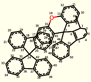 CC1CC=CC2=C1C1(c3ccccc3Oc3cc(-c4ccccc4C4(c5ccccc5)c5ccccc5-c5ccccc54)ccc31)c1ccccc12